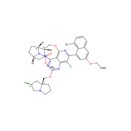 CCc1cccc2cc(OCOC)cc(-c3nc4c5c(nc(OC[C@@]67CCCN6C[C@@H](F)C7)nc5c3F)N3C[C@@H]5CC[C@H]([C@@H]3CO4)N5C(=O)OC(C)(C)C)c12